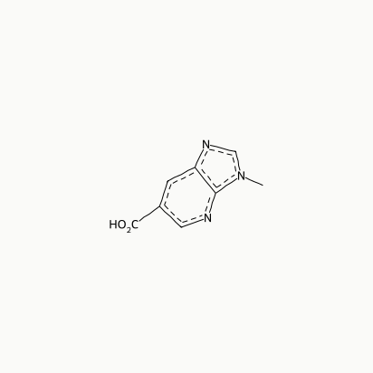 Cn1cnc2cc(C(=O)O)cnc21